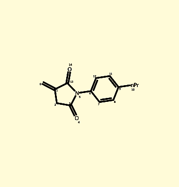 C=C1CC(=O)N(c2ccc(CCC)cc2)C1=O